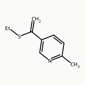 C=C(SCC)c1ccc(C)nc1